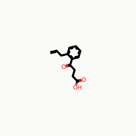 C=CCc1ccccc1C(=O)CCC(=O)O